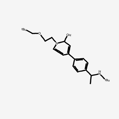 CC(NC(C)(C)C)c1ccc(C2=CC(O)N(CCOCC(C)(C)C)C=C2)cc1